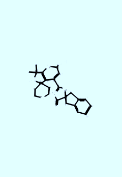 CC1(C)OC2(CCNCC2)C2=C1NC(O)C=C2C1=NC(=O)C2(Cc3ccccc3C2)O1